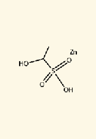 CC(O)S(=O)(=O)O.[Zn]